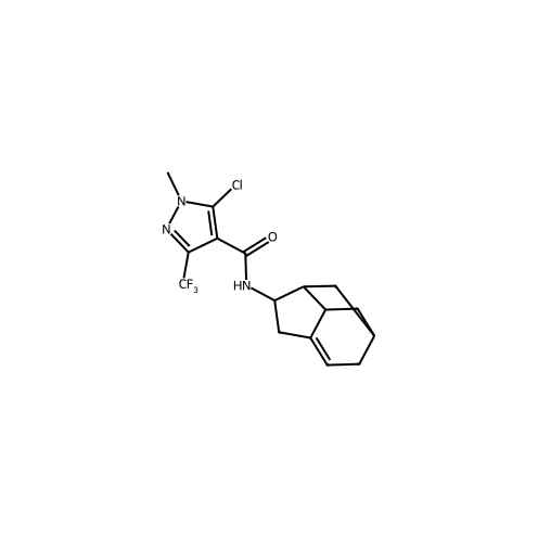 Cn1nc(C(F)(F)F)c(C(=O)NC2CC3=CCC4CC3C2C4)c1Cl